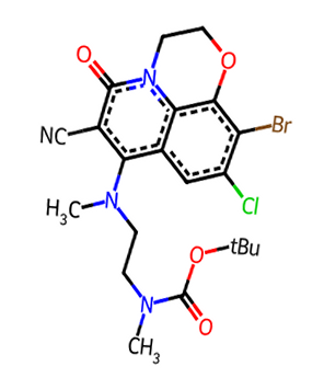 CN(CCN(C)c1c(C#N)c(=O)n2c3c(c(Br)c(Cl)cc13)OCC2)C(=O)OC(C)(C)C